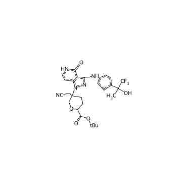 CC(C)(C)OC(=O)C1CCC(CC#N)(n2nc(Nc3ccc(C(C)(O)C(F)(F)F)cc3)c3c(=O)[nH]ccc32)CO1